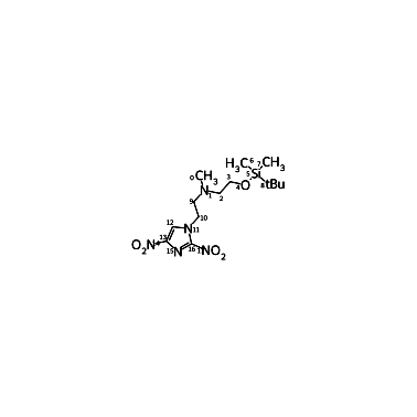 CN(CCO[Si](C)(C)C(C)(C)C)CCn1cc([N+](=O)[O-])nc1[N+](=O)[O-]